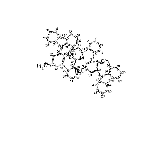 Cc1cc(-c2ccccc2-c2cccc(-c3ccccc3-c3cc(C)cc(-n4c5ccccc5c5ccccc54)c3O)n2)c(O)c(-n2c3ccccc3c3ccccc32)c1